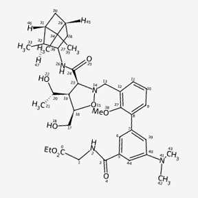 CCOC(=O)CNC(=O)c1cc(-c2cccc(CN3O[C@@H](CO)[C@@H]([C@H](C)O)[C@H]3C(=O)NC3C[C@H]4C[C@@H]([C@@H]3C)C4(C)C)c2OC)cc(N(C)C)c1